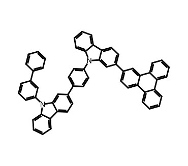 c1ccc(-c2cccc(-n3c4ccccc4c4ccc(-c5ccc(-n6c7ccccc7c7ccc(-c8ccc9c%10ccccc%10c%10ccccc%10c9c8)cc76)cc5)cc43)c2)cc1